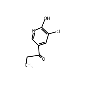 CCC(=O)c1cnc(O)c(Cl)c1